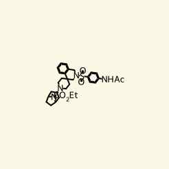 CCOC(=O)N1C2CCC1CC(N1CCC3(CC1)CN(S(=O)(=O)c1ccc(NC(C)=O)cc1)Cc1ccccc13)C2